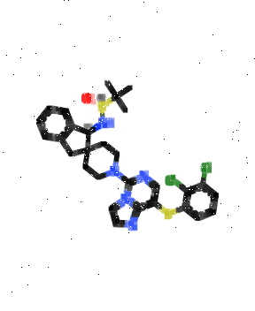 CC(C)(C)[S@@+]([O-])N[C@@H]1c2ccccc2CC12CCN(c1ncc(Sc3cccc(Cl)c3Cl)c3nccn13)CC2